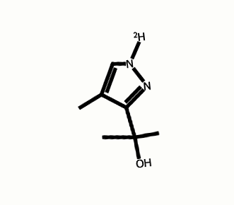 [2H]n1cc(C)c(C(C)(C)O)n1